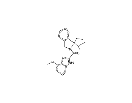 CCC1(C(C)C)c2ccccc2CN1C(=O)c1cc2c(OC)cccc2[nH]1